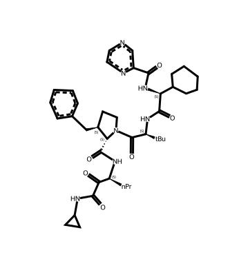 CCC[C@H](NC(=O)[C@@H]1[C@@H](Cc2ccccc2)CCN1C(=O)[C@@H](NC(=O)[C@@H](NC(=O)c1cnccn1)C1CCCCC1)C(C)(C)C)C(=O)C(=O)NC1CC1